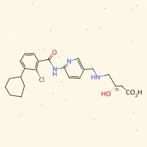 O=C(O)C[C@H](O)CNCc1ccc(NC(=O)c2cccc(C3CCCCC3)c2Cl)nc1